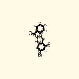 O=c1[nH]n(Cc2ccc(Br)cc2F)c2ccccc12